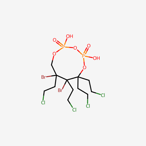 O=P1(O)OCC(Br)(CCCl)C(Br)(CCCl)C(CCCl)(CCCl)OP(=O)(O)O1